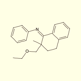 CCOCC1(C)CCc2ccccc2/C1=N/c1ccccc1